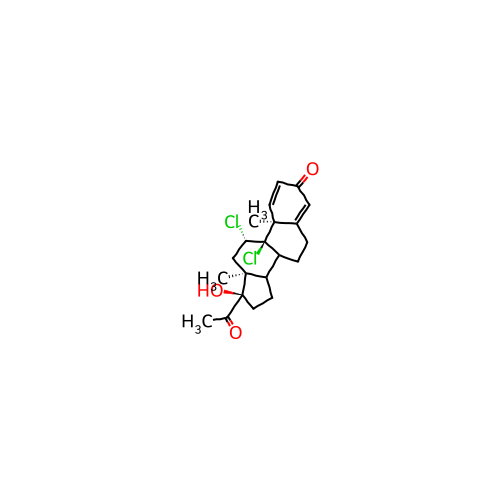 CC(=O)[C@@]1(O)CCC2C3CCC4=CC(=O)C=C[C@]4(C)[C@@]3(Cl)[C@@H](Cl)C[C@@]21C